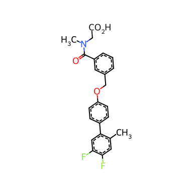 Cc1cc(F)c(F)cc1-c1ccc(OCc2cccc(C(=O)N(C)CC(=O)O)c2)cc1